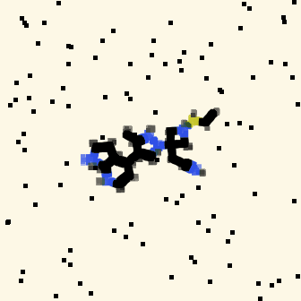 CCSN1CC(CC#N)(n2cc(-c3ccnc4[nH]ccc34)c(C)n2)C1